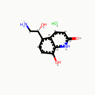 Cl.NC[C@H](O)c1ccc(O)c2[nH]c(=O)ccc12